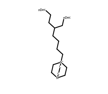 CCCCCCCCCCCCC(CCCCCCCCCCC)CCCC[N+]12CCN(CC1)CC2